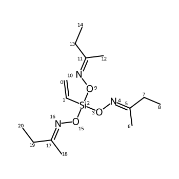 C=C[Si](O/N=C(\C)CC)(O/N=C(\C)CC)O/N=C(\C)CC